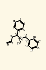 C=CCC(c1ccccc1)N(C)Cc1ccccc1